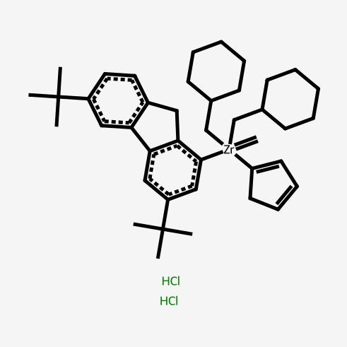 Cl.Cl.[CH2]=[Zr]([CH2]C1CCCCC1)([CH2]C1CCCCC1)([C]1=CC=CC1)[c]1cc(C(C)(C)C)cc2c1Cc1ccc(C(C)(C)C)cc1-2